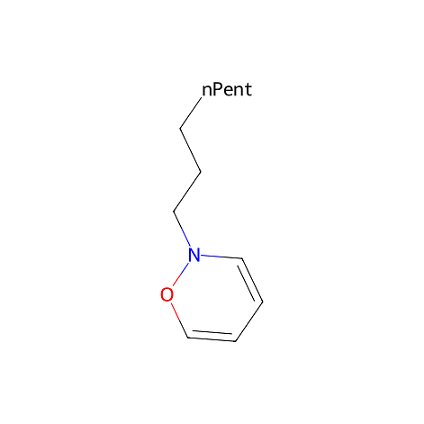 CCCCCCCCN1C=CC=CO1